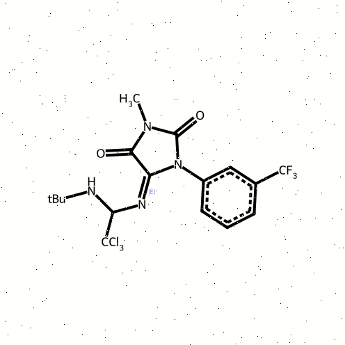 CN1C(=O)/C(=N\C(NC(C)(C)C)C(Cl)(Cl)Cl)N(c2cccc(C(F)(F)F)c2)C1=O